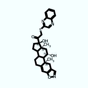 C[C@]12Cc3cnoc3C=C1CCC1C2[C@@H](O)C[C@@]2(C)C1CC[C@]2(O)C(=O)CSc1cnc2ccccc2n1